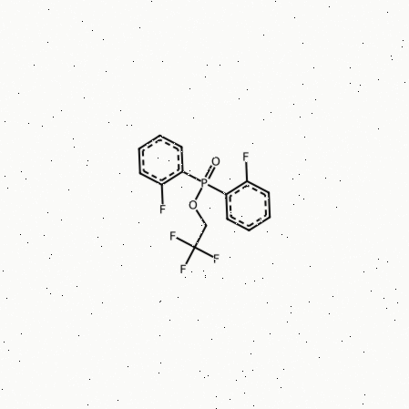 O=P(OCC(F)(F)F)(c1ccccc1F)c1ccccc1F